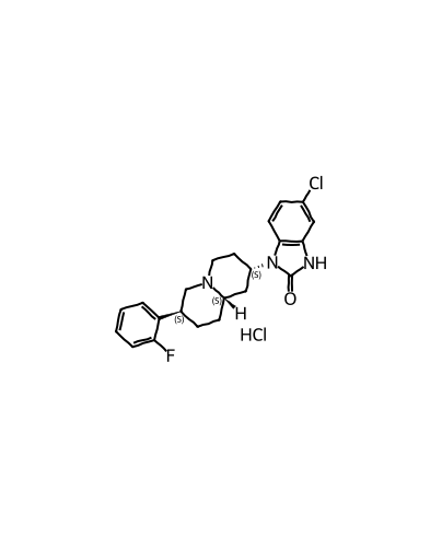 Cl.O=c1[nH]c2cc(Cl)ccc2n1[C@H]1CCN2C[C@H](c3ccccc3F)CC[C@H]2C1